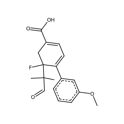 COc1cccc(C2=CC=C(C(=O)O)CC2(F)C(C)(C)C=O)c1